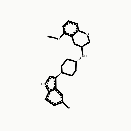 COc1cccc2c1CC(N[C@H]1CC[C@H](c3c[nH]c4ccc(F)cc43)CC1)CO2